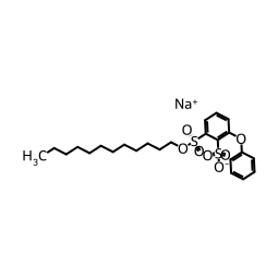 CCCCCCCCCCCCOS(=O)(=O)c1cccc(Oc2ccccc2)c1S(=O)(=O)[O-].[Na+]